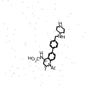 CC(=O)N1c2ccc(-c3ccc(CNC4CCNCC4)cc3)cc2[C@H](NC(=O)O)C[C@@H]1C